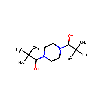 CC(C)(C)C(O)N1CCN(C(O)C(C)(C)C)CC1